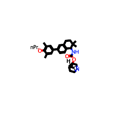 CCCOc1c(C)cc(-c2ccc3c(c2)CCC(C)(C)C3NC(=O)O[C@H]2CN3CCC2CC3)cc1C